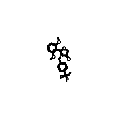 COc1cccc(OC)c1C1OCC(=O)N1Cc1ccc(C(F)(F)F)cc1